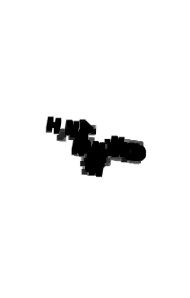 NCC(C1CC1)n1cc(-c2nc(-c3cnn(C4CCOCC4)c3)cc3nccn23)cn1